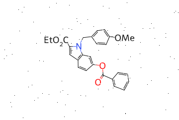 CCOC(=O)c1cc2ccc(OC(=O)c3ccccc3)cc2n1Cc1ccc(OC)cc1